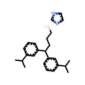 BCCCC(c1cccc(C(C)C)c1)c1cccc(C(C)C)c1.c1c[nH]cn1